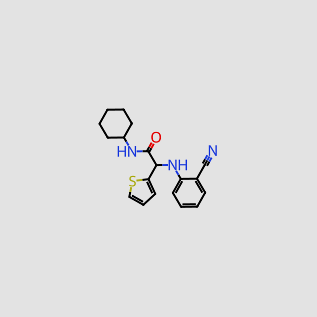 N#Cc1ccccc1NC(C(=O)NC1CCCCC1)c1cccs1